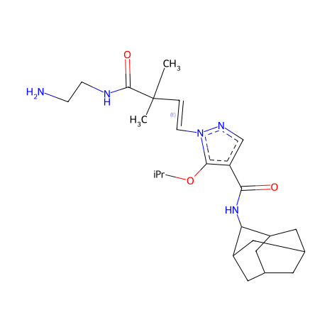 CC(C)Oc1c(C(=O)NC2C3CC4CC(C3)CC2C4)cnn1/C=C/C(C)(C)C(=O)NCCN